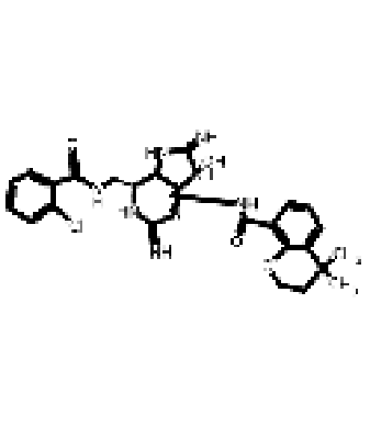 CC1(C)CCOc2c(C(=O)NC3CN4C(=N)N[C@@H](CNC(=O)c5ccccc5Cl)C5NC(=N)NC54[C@@H]3O)cccc21